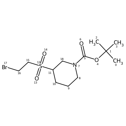 CC(C)(C)OC(=O)N1CCCC(S(=O)(=O)CCBr)C1